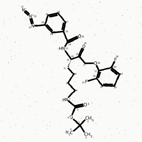 CC(C)(C)OC(=O)NCCCC[C@H](NC(=O)c1cccc(N=[N+]=[N-])c1)C(=O)COc1c(F)cccc1F